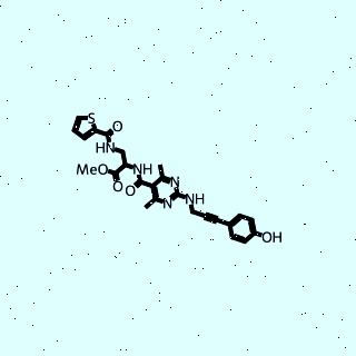 COC(=O)C(CNC(=O)c1cccs1)NC(=O)c1c(C)nc(NCC#Cc2ccc(O)cc2)nc1C